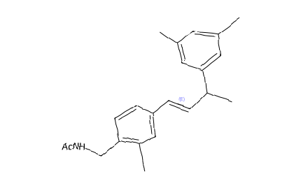 CC(=O)NCc1ccc(/C=C/C(C)c2cc(C)cc(C)c2)cc1C